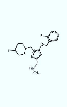 CNCc1cc(OCc2ccccc2F)n(CC2CCC(F)CC2)n1